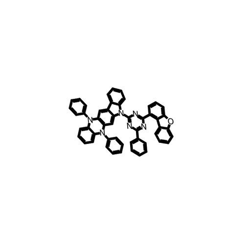 c1ccc(-c2nc(-c3cccc4oc5ccccc5c34)nc(-n3c4ccccc4c4cc5c(cc43)N(c3ccccc3)c3ccccc3N5c3ccccc3)n2)cc1